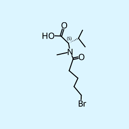 CC(C)[C@@H](C(=O)O)N(C)C(=O)CCCCBr